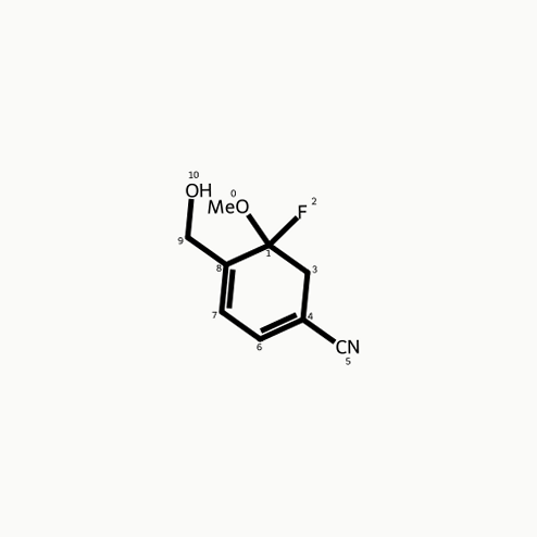 COC1(F)CC(C#N)=CC=C1CO